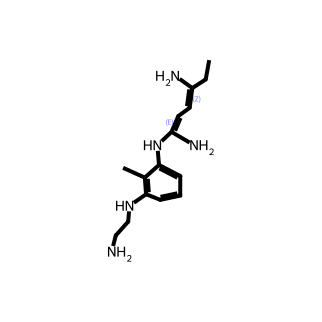 CC/C(N)=C/C=C(\N)Nc1cccc(NCCN)c1C